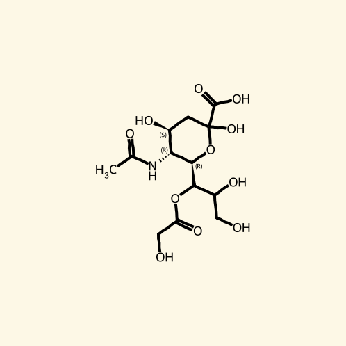 CC(=O)N[C@@H]1[C@@H](O)CC(O)(C(=O)O)O[C@H]1C(OC(=O)CO)C(O)CO